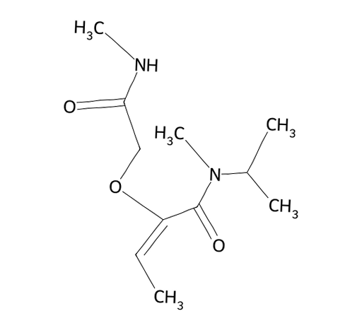 C/C=C(/OCC(=O)NC)C(=O)N(C)C(C)C